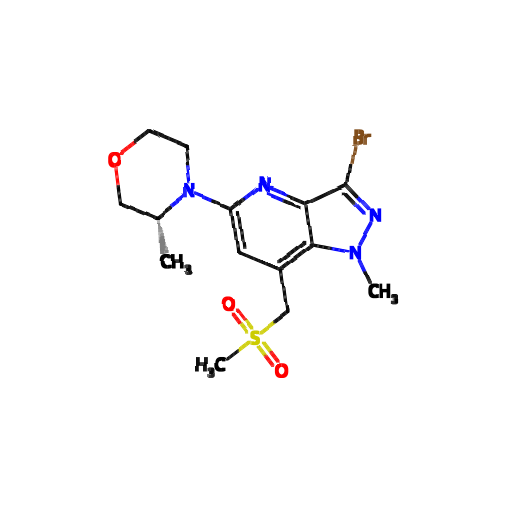 C[C@@H]1COCCN1c1cc(CS(C)(=O)=O)c2c(n1)c(Br)nn2C